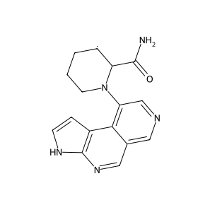 NC(=O)C1[CH]CCCN1c1cncc2cnc3[nH]ccc3c12